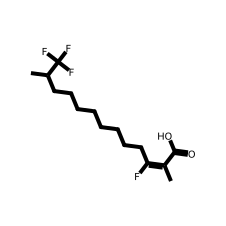 CC(C(=O)O)=C(F)CCCCCCCCC(C)C(F)(F)F